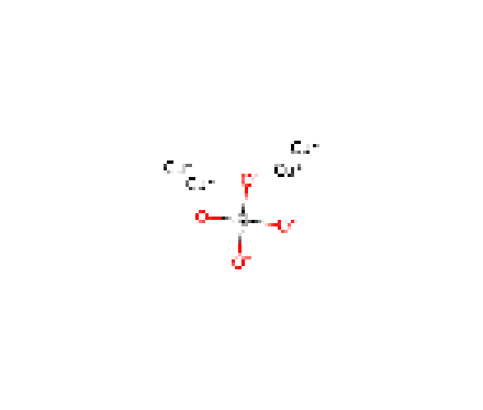 [Cu+].[Cu+].[Cu+].[Cu+].[O-][Si]([O-])([O-])[O-]